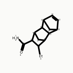 CCC1C2CC(C1C(N)=O)C1C3C=CC(C3)C21